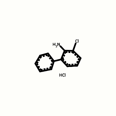 Cl.Nc1c(Cl)cccc1-c1ccccc1